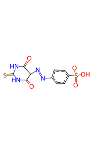 O=C1NC(=S)NC(=O)C1N=Nc1ccc(S(=O)(=O)O)cc1